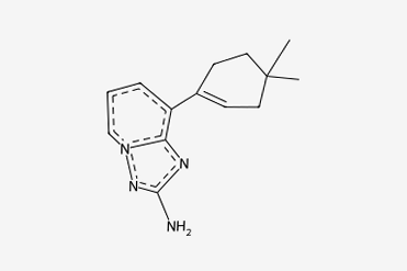 CC1(C)CC=C(c2cccn3nc(N)nc23)CC1